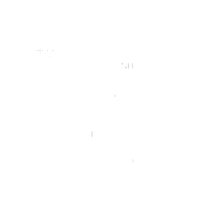 CC(=CC(=O)Nc1ccc(C(=O)O)cc1)c1cc(C(C)C)c(C(C)C)o1